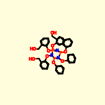 OCc1ccccc1ON1P(Oc2ccccc2)N(Oc2ccccc2)P(Oc2ccccc2)N=P1(Oc1ccccc1CO)Oc1ccccc1CO